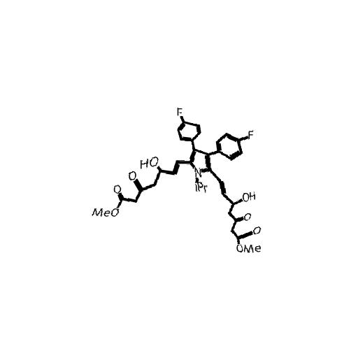 COC(=O)CC(=O)CC(O)/C=C/c1c(-c2ccc(F)cc2)c(-c2ccc(F)cc2)c(/C=C/C(O)CC(=O)CC(=O)OC)n1C(C)C